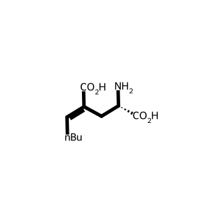 CCCCC=C(C[C@H](N)C(=O)O)C(=O)O